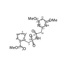 COC(=O)c1ccccc1CS(=O)(=O)NC(=O)Cc1nc(OC)cc(OC)n1